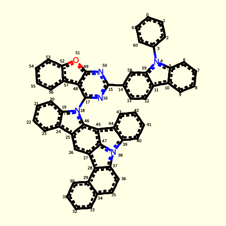 c1ccc(-n2c3ccccc3c3ccc(-c4nc(-n5c6ccccc6c6cc7c8c9ccccc9ccc8n8c9ccccc9c(c65)c78)c5c(n4)oc4ccccc45)cc32)cc1